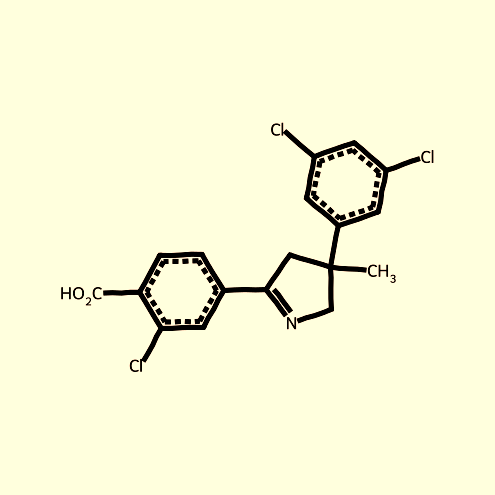 CC1(c2cc(Cl)cc(Cl)c2)CN=C(c2ccc(C(=O)O)c(Cl)c2)C1